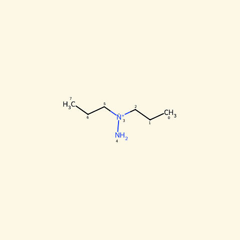 CCC[N+](N)CCC